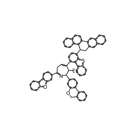 CCC1C(c2ccc(C3Cc4cc5ccccc5cc4-c4ccc5ccccc5c43)c3sc4ccccc4c23)=CCC(c2ccc3c(c2)oc2ccccc23)=NC1c1ccc2c(c1)OCc1ccccc1-2